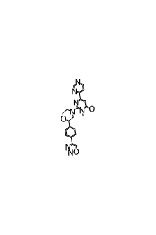 Cn1c(N2CCOC(c3ccc(-c4conn4)cc3)C2)nc(-c2ccncn2)cc1=O